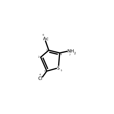 CC(=O)c1cc(Cl)sc1N